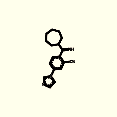 N#Cc1cc(-n2ccnc2)ccc1C(=N)C1CCCCCC1